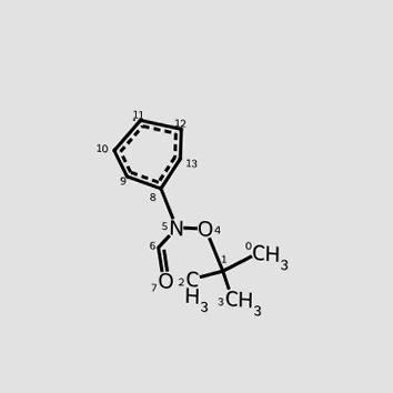 CC(C)(C)ON(C=O)c1cc[c]cc1